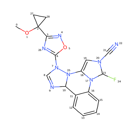 COC1(c2noc(N3C=NC4c5ccccc5N5C(=CN(C#N)C5F)N43)n2)CC1